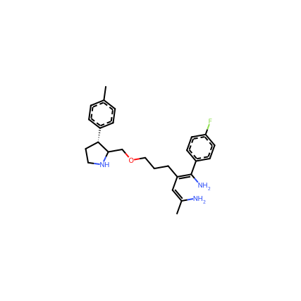 C/C(N)=C/C(CCCOCC1NCC[C@@H]1c1ccc(C)cc1)=C(\N)c1ccc(F)cc1